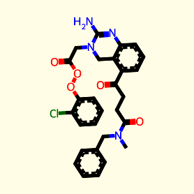 CN(Cc1ccccc1)C(=O)CCC(=O)c1cccc2c1CN(CC(=O)OOc1ccccc1Cl)C(N)=N2